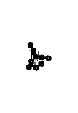 c1ccc(-c2ccc(-c3nc(-c4ccc(-c5ccccc5)cc4)nc(-c4ccc5c6ccccc6n(-c6cccc(-c7ccccc7)c6)c5c4)n3)cc2)cc1